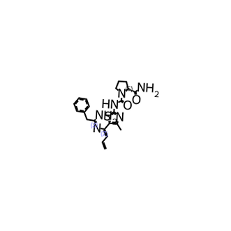 C=C/C=C(\N=C(/N)Cc1ccccc1)c1sc(NC(=O)N2CCC[C@H]2C(N)=O)nc1C